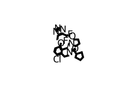 Cn1nnc(COc2ccc(Cl)c3c2[C@@H](CN2CCCC2=O)N(C(=O)C2CCCC2)CC3)c1C(F)F